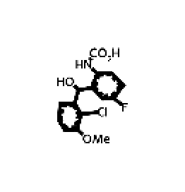 COc1cccc(C(O)c2cc(F)ccc2NC(=O)O)c1Cl